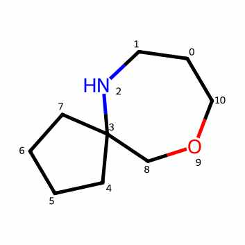 C1CNC2(CCCC2)COC1